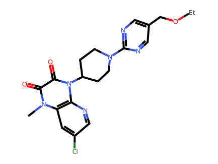 CCOCc1cnc(N2CCC(n3c(=O)c(=O)n(C)c4cc(Cl)cnc43)CC2)nc1